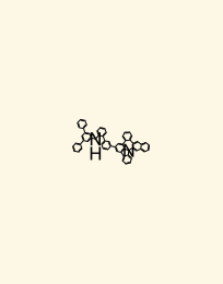 c1ccc(-c2cc(Nc3ccccc3-c3cccc(-c4cc5c6c(c4)c4ccccc4n6-c4cc6ccccc6cc4-c4ccccc4-5)c3)cc(-c3ccccc3)c2)cc1